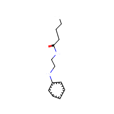 CCCCC(=O)NCCNc1ccccc1